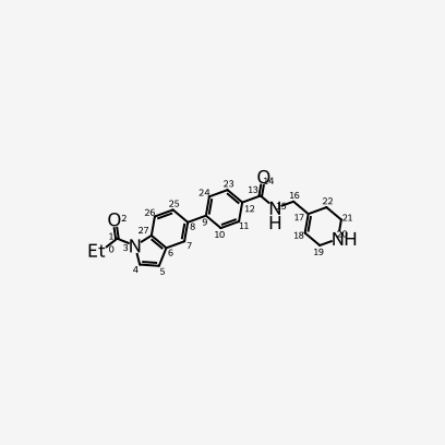 CCC(=O)n1ccc2cc(-c3ccc(C(=O)NCC4=CCNCC4)cc3)ccc21